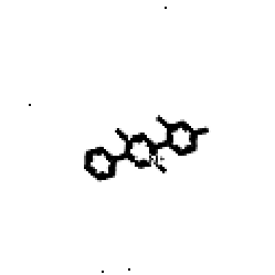 Cc1ccc(-c2cc(C)c(-c3ccccc3)c[n+]2C)c(C)c1